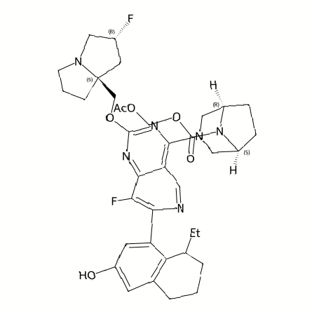 CCC1CCCc2cc(O)cc(-c3ncc4c(N5C[C@H]6CC[C@@H](C5)N6C(=O)OCOC(C)=O)nc(OC[C@@]56CCCN5C[C@H](F)C6)nc4c3F)c21